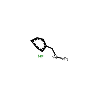 CC[CH2][Al][CH2]c1ccccc1.F